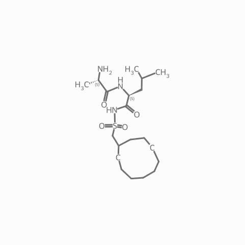 CC(C)C[C@H](NC(=O)[C@H](C)N)C(=O)NS(=O)(=O)CC1CCCCCCCCC1